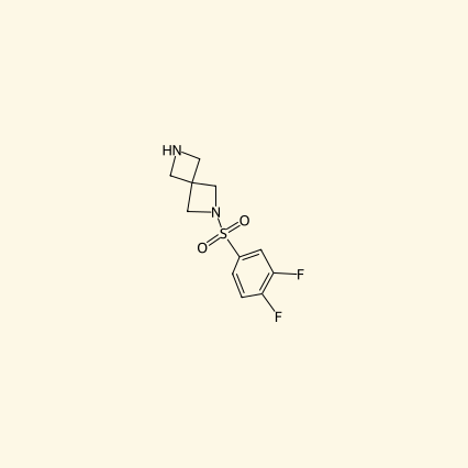 O=S(=O)(c1ccc(F)c(F)c1)N1CC2(CNC2)C1